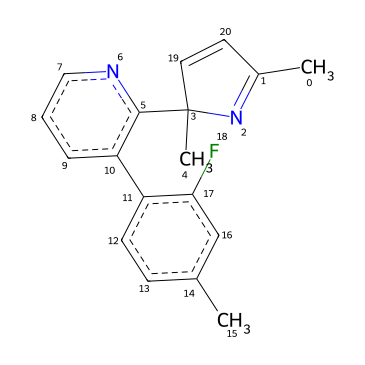 CC1=NC(C)(c2ncccc2-c2ccc(C)cc2F)C=C1